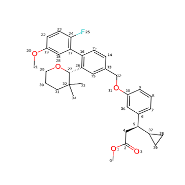 COC(=O)C[C@@H](c1cccc(OCc2ccc(-c3cc(OC)ccc3F)c([C@H]3OCCCC3(C)C)c2)c1)C1CC1